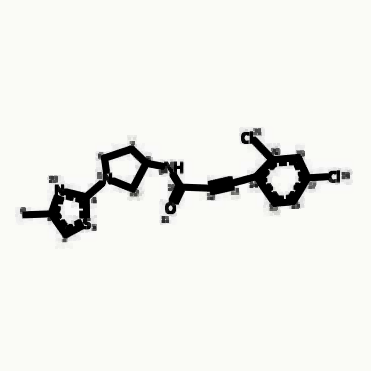 Cc1csc(N2CCC(NC(=O)C#Cc3ccc(Cl)cc3Cl)C2)n1